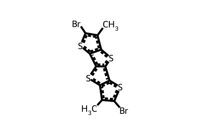 Cc1c(Br)sc2c1sc1c3sc(Br)c(C)c3sc21